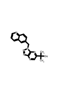 CC(C)(O)c1cnc2nnn(Cc3ccc4ncccc4c3)c2n1